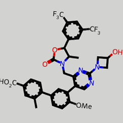 COc1ccc(-c2ccc(C(=O)O)cc2C)cc1-c1cnc(N2CC(O)C2)nc1CN1C(=O)OC(c2cc(C(F)(F)F)cc(C(F)(F)F)c2)C1C